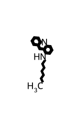 CCCCCCCCNc1cccc2nc3ccccc3cc12